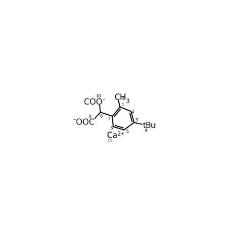 Cc1cc(C(C)(C)C)ccc1C(C(=O)[O-])C(=O)[O-].[Ca+2]